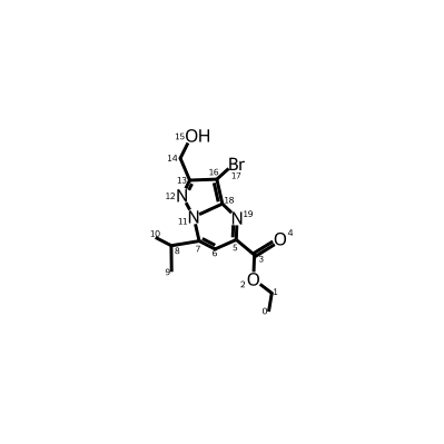 CCOC(=O)c1cc(C(C)C)n2nc(CO)c(Br)c2n1